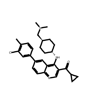 Cc1ccc(-c2ccc3ncc(C(=O)C4CC4)c(N[C@H]4CC[C@H](CN(C)C)CC4)c3c2)cc1Cl